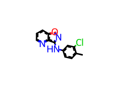 Cc1ccc(Nc2noc3cccnc23)cc1Cl